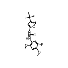 COc1cc(OC)c(NC(=O)Nc2cc(C(F)(F)F)no2)cc1F